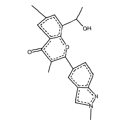 Cc1cc(C(C)O)c2oc(-c3ccc4nn(C)cc4c3)c(C)c(=O)c2c1